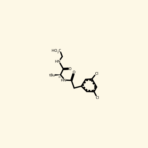 CC(C)(C)[C@H](NC(=O)Cc1cc(Cl)cc(Cl)c1)C(=O)NCC(=O)O